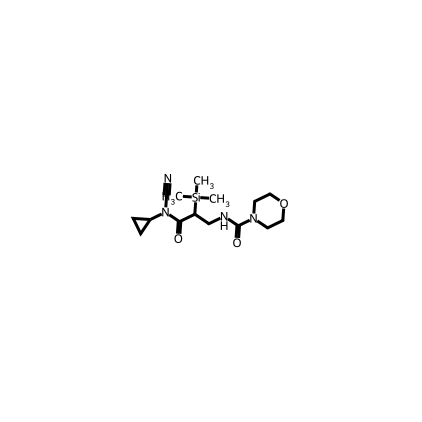 C[Si](C)(C)C(CNC(=O)N1CCOCC1)C(=O)N(C#N)C1CC1